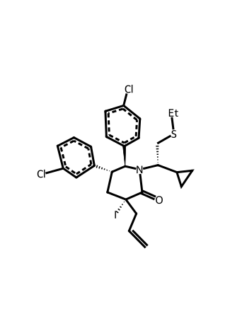 C=CC[C@@]1(I)C[C@H](c2cccc(Cl)c2)[C@@H](c2ccc(Cl)cc2)N([C@H](CSCC)C2CC2)C1=O